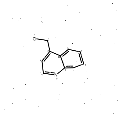 Cl[CH]c1ccnc2ccccc12